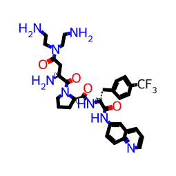 NCCN(CCN)C(=O)C[C@H](N)C(=O)N1CCC[C@@H]1C(=O)N[C@H](Cc1ccc(C(F)(F)F)cc1)C(=O)Nc1ccc2ncccc2c1